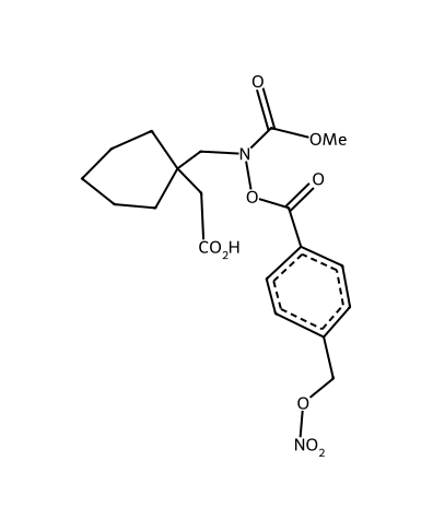 COC(=O)N(CC1(CC(=O)O)CCCCC1)OC(=O)c1ccc(CO[N+](=O)[O-])cc1